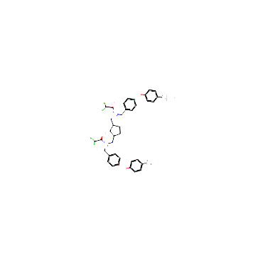 O=C(C(Cl)Cl)N(Cc1ccc(Oc2ccc([N+](=O)[O-])cc2)cc1)CC1CCC(CN(Cc2ccc(Oc3ccc([N+](=O)[O-])cc3)cc2)C(=O)C(Cl)Cl)C1